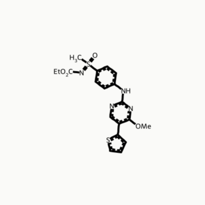 CCOC(=O)N=S(C)(=O)c1ccc(Nc2ncc(-c3cccs3)c(OC)n2)cc1